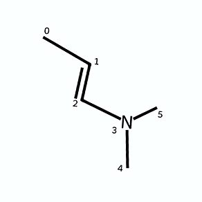 C/C=C/N(C)C